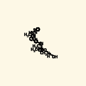 Cc1c(Nc2nc3ccccc3s2)nnc2c1CCCN2c1ccc(-c2cnn(CC34CC5(C)CC(C)(C3)CC(OCCNCCCO)(C5)C4)c2C)cn1